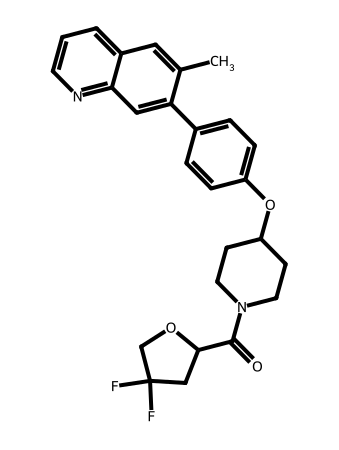 Cc1cc2cccnc2cc1-c1ccc(OC2CCN(C(=O)C3CC(F)(F)CO3)CC2)cc1